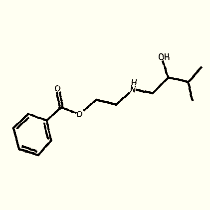 CC(C)C(O)CNCCOC(=O)c1ccccc1